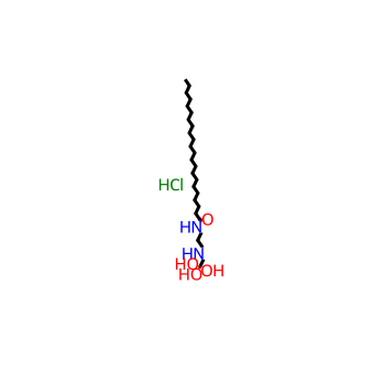 CCCCCCCCCCCCCCCCCCCCCC(=O)NCCCNCC(O)(O)O.Cl